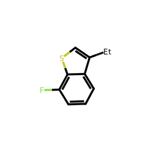 [CH2]Cc1csc2c(F)cccc12